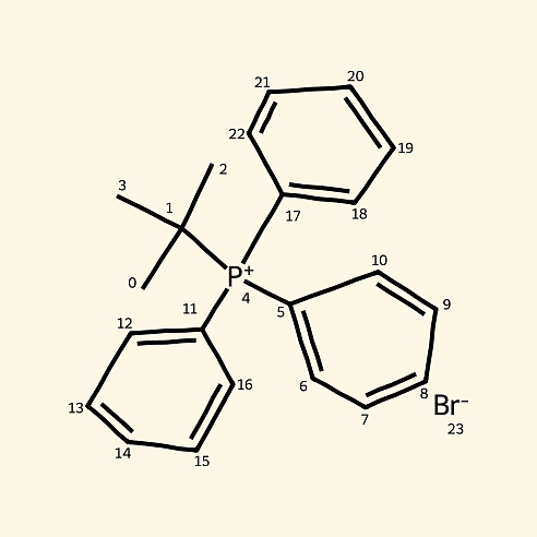 CC(C)(C)[P+](c1ccccc1)(c1ccccc1)c1ccccc1.[Br-]